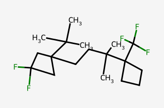 CC(C)(C)C1(CCC(C)(C)C2(C(F)(F)F)CCC2)CC(F)(F)C1